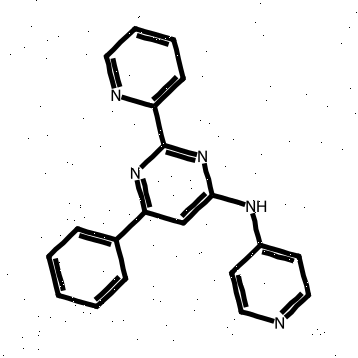 c1ccc(-c2cc(Nc3ccncc3)nc(-c3ccccn3)n2)cc1